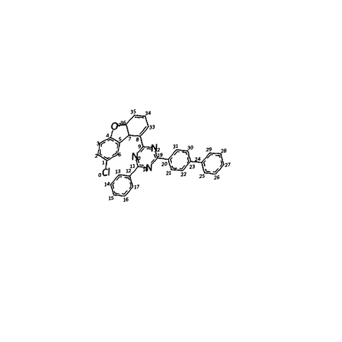 Clc1ccc2c(c1)C1C(c3nc(-c4ccccc4)nc(-c4ccc(-c5ccccc5)cc4)n3)=CC=CC1O2